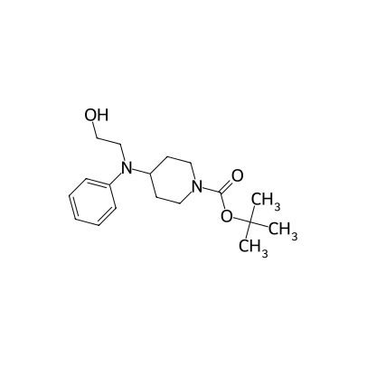 CC(C)(C)OC(=O)N1CCC(N(CCO)c2ccccc2)CC1